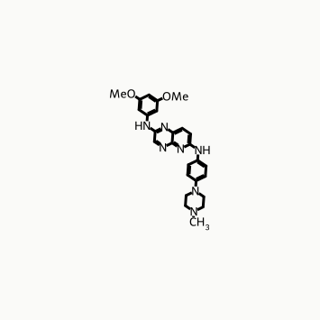 COc1cc(Nc2cnc3nc(Nc4ccc(N5CCN(C)CC5)cc4)ccc3n2)cc(OC)c1